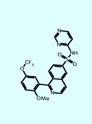 COc1ccc(OC(F)(F)F)cc1-c1nccc2cc(S(=O)(=O)Nc3ccncn3)ccc12